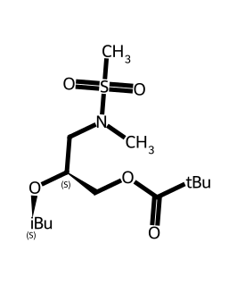 CC[C@H](C)O[C@H](COC(=O)C(C)(C)C)CN(C)S(C)(=O)=O